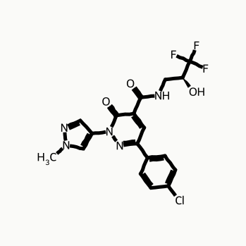 Cn1cc(-n2nc(-c3ccc(Cl)cc3)cc(C(=O)NC[C@H](O)C(F)(F)F)c2=O)cn1